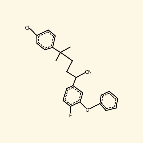 CC(C)(CCC(C#N)c1ccc(F)c(Oc2ccccc2)c1)c1ccc(Cl)cc1